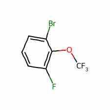 Fc1cccc(Br)c1OC(F)(F)F